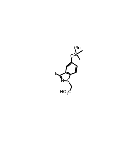 CC(C)(C)[Si](C)(C)Oc1ccc2c(c1)c(I)nn2CC(=O)O